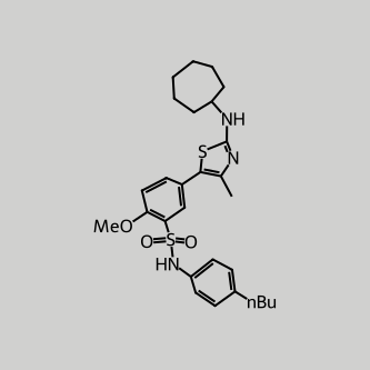 CCCCc1ccc(NS(=O)(=O)c2cc(-c3sc(NC4CCCCCC4)nc3C)ccc2OC)cc1